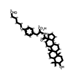 CC1(C)C(O)CCC2(C)C1CCC1(C)C3CCC4(C(=O)NC(Cc5ccc(OCCCCC=O)cc5)C(=O)O)CCCC4C3CCC12